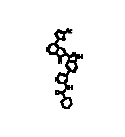 CC(=O)c1ccc(-c2cncc3[nH]c(-c4n[nH]c5ccc(-c6cncc(NC(=O)C7CCCCC7)c6)cc45)cc23)s1